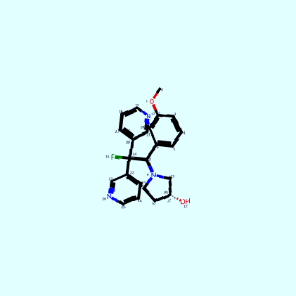 COc1cccc(C(N2CC[C@@H](O)C2)C(F)(c2cccnc2)c2cccnc2)c1